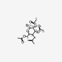 C=C(C)CC1C(COC(C)=O)OC(Br)C(OC(C)=O)C1OC(C)=O